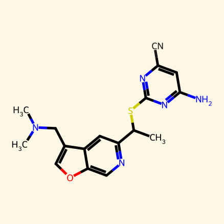 CC(Sc1nc(N)cc(C#N)n1)c1cc2c(CN(C)C)coc2cn1